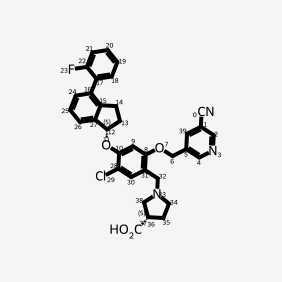 N#Cc1cncc(COc2cc(O[C@H]3CCc4c(-c5ccccc5F)cccc43)c(Cl)cc2CN2CC[C@H](C(=O)O)C2)c1